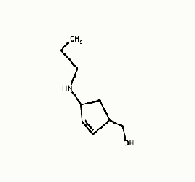 CCCNC1C=CC(CO)C1